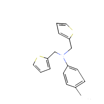 O=Cc1ccc(N(Cc2cccs2)Cc2cccs2)cc1